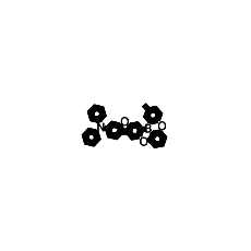 Cc1ccc2c(c1)B1c3cc4oc5cc(N(c6ccccc6)c6ccccc6)ccc5c4cc3Oc3cccc(c31)O2